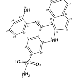 NS(=O)(=O)c1cccc(Nc2ccc3ccccc3c2N=Nc2ccccc2O)c1